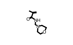 C=C(C)C(=O)NCN1CCOCC1